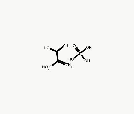 C=C(C(=O)O)C(C)O.O=P(O)(O)O